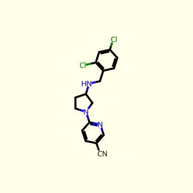 N#Cc1ccc(N2CCC(NCc3ccc(Cl)cc3Cl)C2)nc1